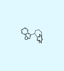 c1ccc2c(C3CCCn4cncc43)coc2c1